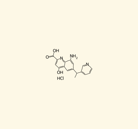 CC(c1cccnc1)c1cc(N)c2nc(C(=O)O)cc(O)c2c1.Cl